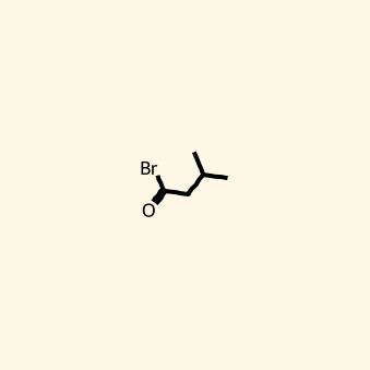 CC(C)CC(=O)Br